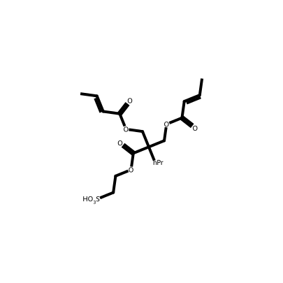 CC=CC(=O)OCC(CCC)(COC(=O)C=CC)C(=O)OCCS(=O)(=O)O